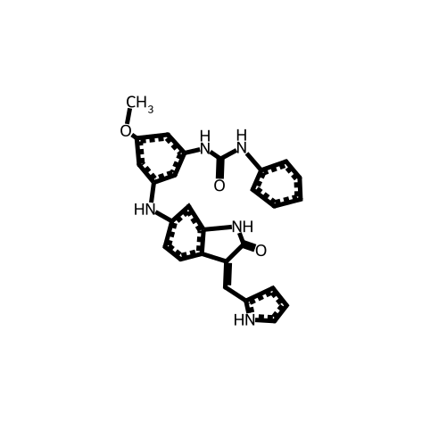 COc1cc(NC(=O)Nc2ccccc2)cc(Nc2ccc3c(c2)NC(=O)/C3=C\c2ccc[nH]2)c1